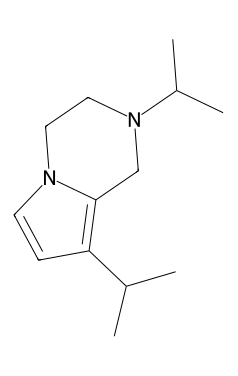 CC(C)c1ccn2c1CN(C(C)C)CC2